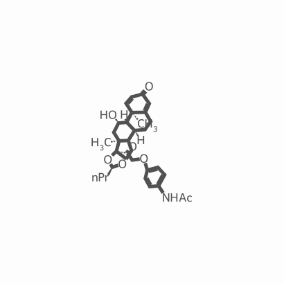 CCC[C@@H]1OC2CC3[C@@H]4CCC5=CC(=O)C=C[C@]5(C)[C@H]4[C@@H](O)C[C@]3(C)[C@]2(C(=O)COc2ccc(NC(C)=O)cc2)O1